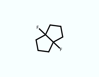 FC12CCCC1(F)CCC2